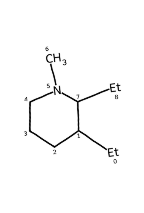 CCC1CCCN(C)C1CC